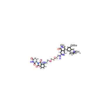 COc1cc(-c2cn(C)c(=O)c3cc(NCCOCCOCCNc4cccc5c4C(=O)N(C4CCC(=O)NC4=O)C5=O)ncc23)cc(OC)c1CN(C)C